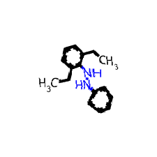 CCc1cccc(CC)c1NNc1ccccc1